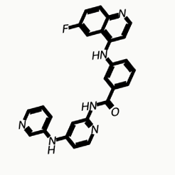 O=C(Nc1cc(Nc2cccnc2)ccn1)c1cccc(Nc2ccnc3ccc(F)cc23)c1